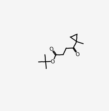 CC(C)(C)OC(=O)CCC(=O)C1(C)CC1